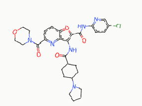 O=C(Nc1ccc(Cl)cn1)c1oc2ccc(C(=O)N3CCOCC3)nc2c1NC(=O)C1CCC(N2CCCC2)CC1